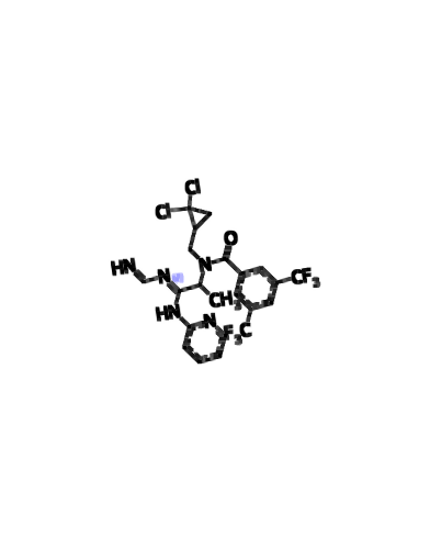 CC(/C(=N/C=N)Nc1ccccn1)N(CC1CC1(Cl)Cl)C(=O)c1cc(C(F)(F)F)cc(C(F)(F)F)c1